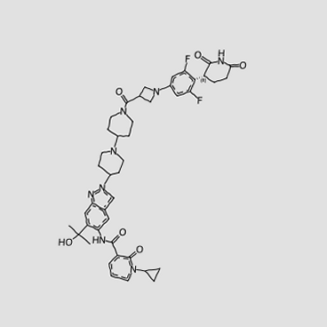 CC(C)(O)c1cc2nn(C3CCN(C4CCN(C(=O)C5CN(c6cc(F)c([C@H]7CCC(=O)NC7=O)c(F)c6)C5)CC4)CC3)cc2cc1NC(=O)c1cccn(C2CC2)c1=O